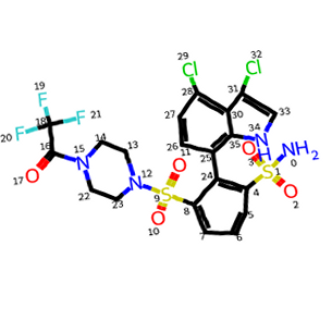 NS(=O)(=O)c1cccc(S(=O)(=O)N2CCN(C(=O)C(F)(F)F)CC2)c1-c1ccc(Cl)c2c(Cl)c[nH]c12